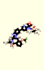 BC(B)(B)N1C(=O)c2cccc(OC(F)F)c2[C@H]2C[C@@H]1c1nc3ccc(-c4ccc(C5(N[S+]([O-])C(C)(C)C)COC5)nc4)cc3n12